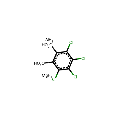 O=C(O)c1c(Cl)c(Cl)c(Cl)c(Cl)c1C(=O)O.[AlH3].[MgH2]